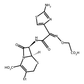 CCC1=C(C(=O)O)N2C(=O)[C@@H](NC(=O)/C(=N\OCC(=O)O)c3csc(N)n3)[C@H]2SC1